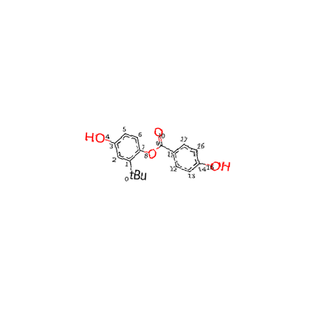 CC(C)(C)c1cc(O)ccc1OC(=O)c1ccc(O)cc1